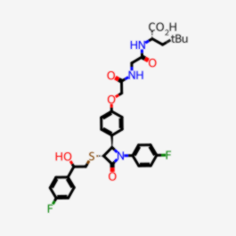 CC(C)(C)C[C@H](NC(=O)CNC(=O)COc1ccc([C@@H]2[C@@H](SCC(O)c3ccc(F)cc3)C(=O)N2c2ccc(F)cc2)cc1)C(=O)O